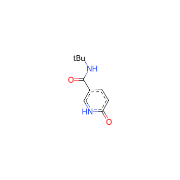 CC(C)(C)NC(=O)c1ccc(=O)[nH]c1